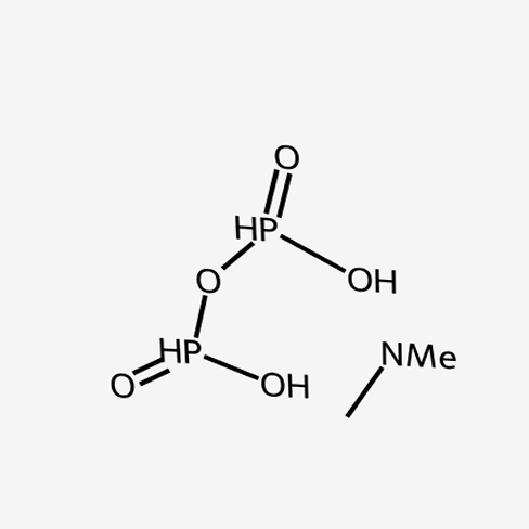 CNC.O=[PH](O)O[PH](=O)O